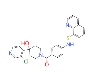 O=C(c1ccc(NSc2cccc3cccnc23)cc1)N1CCC(O)(c2ccncc2Cl)CC1